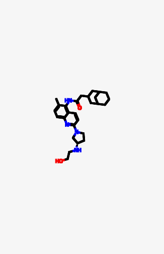 Cc1ccc2nc(N3CC[C@H](NCCO)C3)ccc2c1NC(=O)CC1CC2CCCC(C2)C1